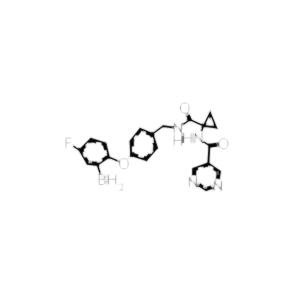 Bc1cc(F)ccc1Oc1ccc(CNC(=O)C2(NC(=O)c3cncnc3)CC2)cc1